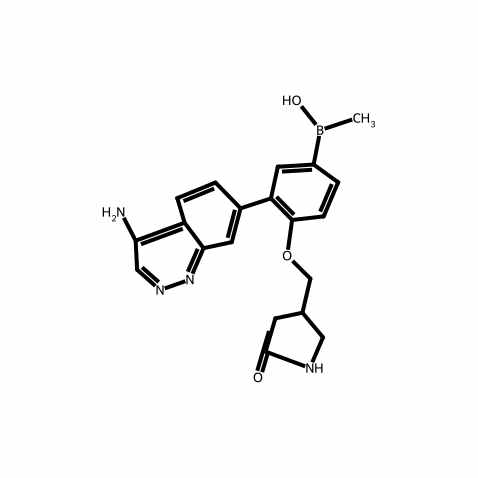 CB(O)c1ccc(OCC2CNC(=O)C2)c(-c2ccc3c(N)cnnc3c2)c1